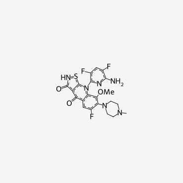 COc1c(N2CCN(C)CC2)c(F)cc2c(=O)c3c(=O)[nH]sc3n(-c3nc(N)c(F)cc3F)c12